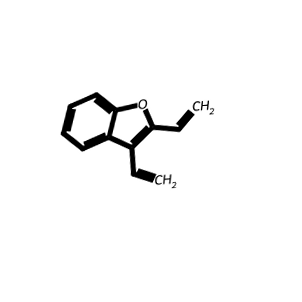 C=Cc1oc2ccccc2c1C=C